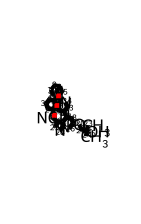 Cc1cccc(CN2C3CC2CN(c2ccc(-c4cc(OCC(C)(C)O)cn5ncc(C#N)c45)cn2)C3)n1